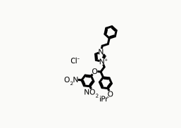 CC(C)Oc1ccc(C(C[n+]2ccn(CCc3ccccc3)c2)Oc2cc([N+](=O)[O-])cc([N+](=O)[O-])c2)cc1.[Cl-]